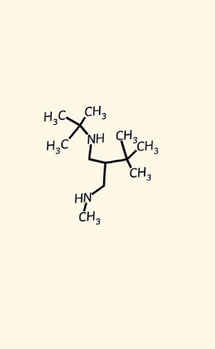 CNCC(CNC(C)(C)C)C(C)(C)C